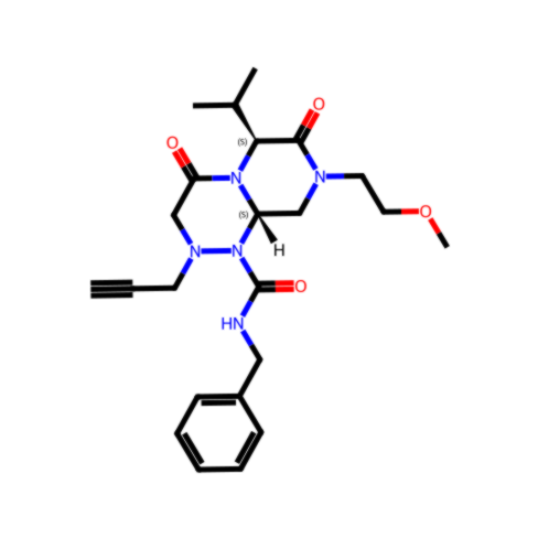 C#CCN1CC(=O)N2[C@@H](C(C)C)C(=O)N(CCOC)C[C@@H]2N1C(=O)NCc1ccccc1